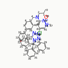 CCCN(Cc1ccc(-c2ccccc2-c2nnnn2C(c2ccccc2)(c2ccccc2)c2ccccc2)cc1)c1cc(Cl)cn(C)[n+]1=O